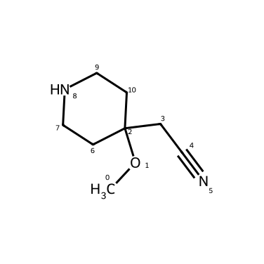 COC1(CC#N)CCNCC1